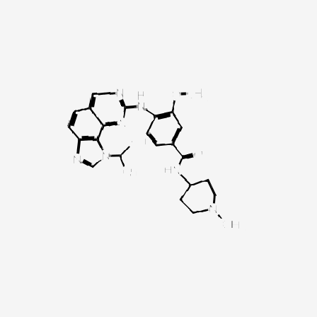 COc1cc(C(=O)NC2CCN(C)CC2)ccc1Nc1ncc2ccc3ncn(C(C)C)c3c2n1